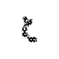 Cc1ccc2nc(CN3CCC(c4cccc(OCc5ccc6cnccc6c5)n4)CC3)n(CC3CCO3)c2n1